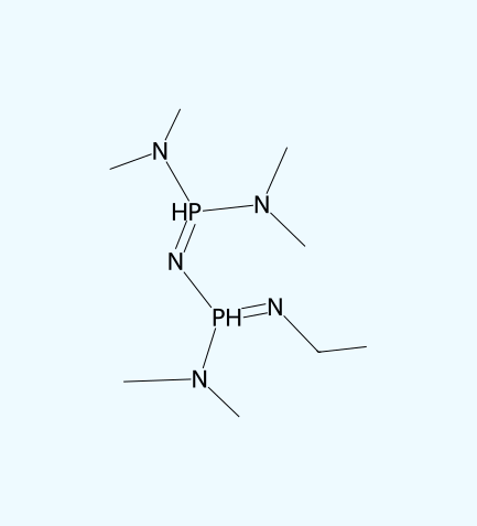 CC/N=[PH](/N=[PH](N(C)C)N(C)C)N(C)C